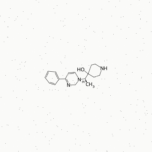 C[C@@H](N1C=CC(c2ccccc2)=NC1)C1(O)CCNCC1